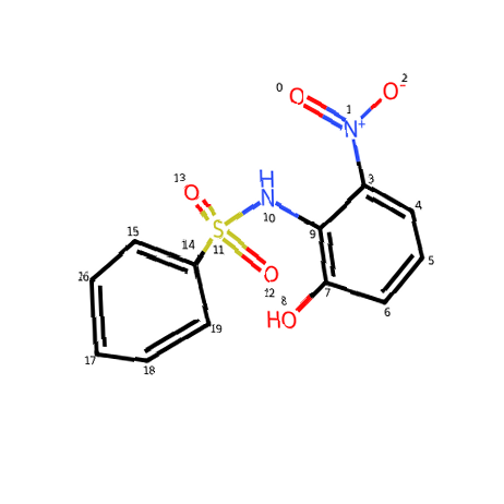 O=[N+]([O-])c1cccc(O)c1NS(=O)(=O)c1ccccc1